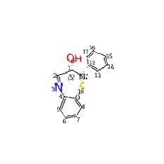 O[C@H]1C=Nc2ccccc2S[C@H]1c1ccccc1